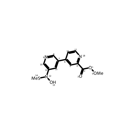 COOC(=O)c1cc(-c2cncc(N(O)SC)c2)ccn1